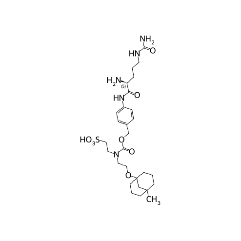 CC12CCCC(OCCN(CCS(=O)(=O)O)C(=O)OCc3ccc(NC(=O)[C@@H](N)CCCNC(N)=O)cc3)(CCC1)C2